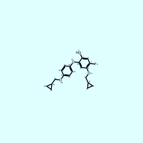 Oc1cc(F)c(OCC2CC2)cc1Oc1ccc(OCC2CC2)cc1